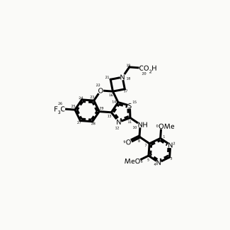 COc1ncnc(OC)c1C(=O)Nc1nc2c(s1)C1(CN(CC(=O)O)C1)Oc1cc(C(F)(F)F)ccc1-2